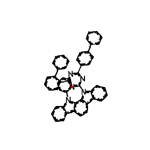 c1ccc(-c2ccc(-c3nc(-c4ccccc4-c4ccccc4)nc(-n4c5ccccc5c5ccc6c7ccccc7n(-c7ccccc7)c6c54)n3)cc2)cc1